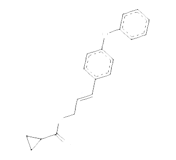 O=C(OC/C=C/c1ccc(Oc2ccccc2)cc1)C1CC1